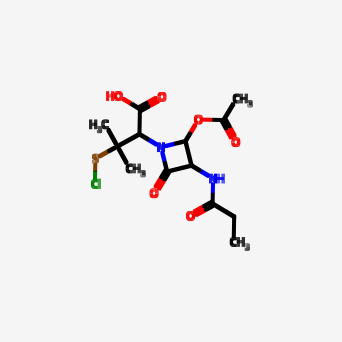 CCC(=O)NC1C(=O)N(C(C(=O)O)C(C)(C)SCl)C1OC(C)=O